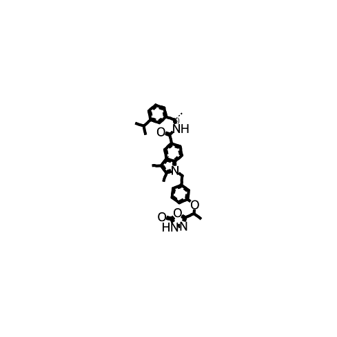 Cc1c(C)n(Cc2cccc(OC(C)c3n[nH]c(=O)o3)c2)c2ccc(C(=O)N[C@@H](C)c3cccc(C(C)C)c3)cc12